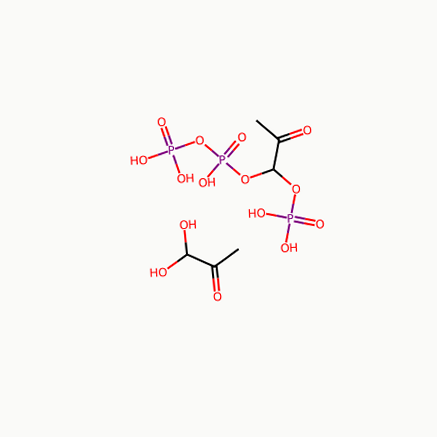 CC(=O)C(O)O.CC(=O)C(OP(=O)(O)O)OP(=O)(O)OP(=O)(O)O